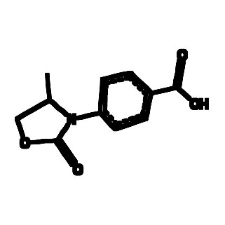 CC1COC(=O)N1c1ccc(C(=O)O)cc1